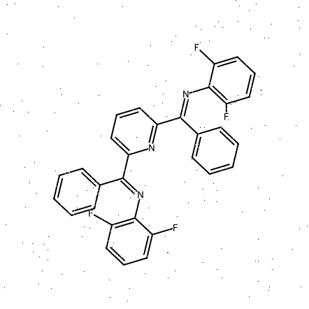 Fc1cccc(F)c1N=C(c1ccccc1)c1cccc(C(=Nc2c(F)cccc2F)c2ccccc2)n1